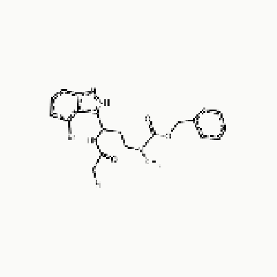 CN(CCC(NC(=O)CCl)c1[nH]nc2cccc(Br)c12)C(=O)OCc1ccccc1